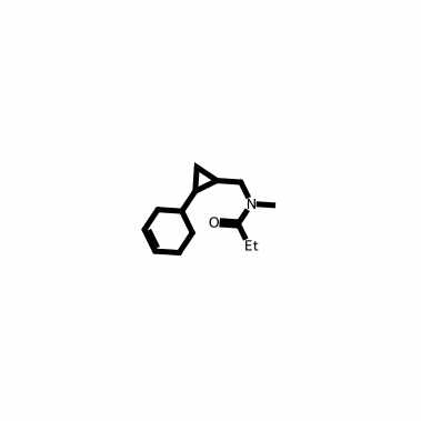 CCC(=O)N(C)CC1CC1C1CC=CCC1